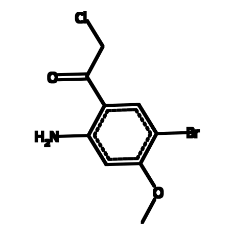 COc1cc(N)c(C(=O)CCl)cc1Br